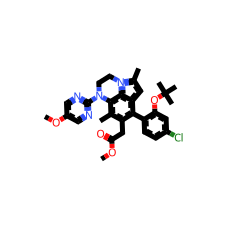 COC(=O)Cc1c(C)c2c3c(cc(C)n3CCN2c2ncc(OC)cn2)c1-c1ccc(Cl)cc1OC(C)(C)C